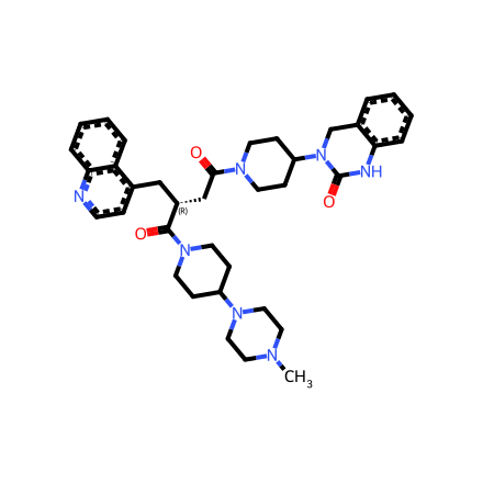 CN1CCN(C2CCN(C(=O)[C@@H](CC(=O)N3CCC(N4Cc5ccccc5NC4=O)CC3)Cc3ccnc4ccccc34)CC2)CC1